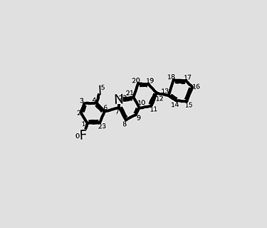 Fc1ccc(I)c(-c2ccc3cc(-c4ccccc4)ccc3n2)c1